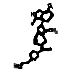 Cn1c(-c2ccc(Cl)c3c2C(=O)NC3)cc2ccc(C(=O)N3CCN(CCO)CC3)cc21